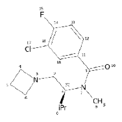 CC(C)[C@@H](CN1CCC1)N(C)C(=O)c1ccc(F)c(Cl)c1